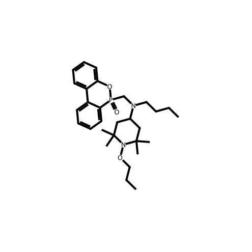 CCCCN(CP1(=O)Oc2ccccc2-c2ccccc21)C1CC(C)(C)N(OCCC)C(C)(C)C1